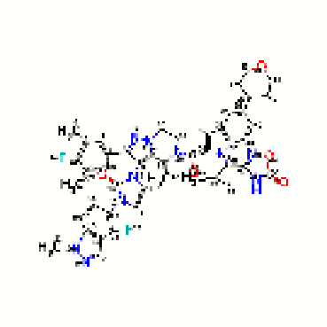 Cc1cc(-c2nn3c(c2-n2ccn(-c4ccc5c(cnn5C)c4F)c2=O)C(C)N(C(=O)c2cc4cc(C5CCOCC5)ccc4n2C2(c4noc(=O)[nH]4)CC2C)CC3)cc(C)c1F